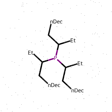 CCCCCCCCCCCC(CC)P(C(CC)CCCCCCCCCCC)C(CC)CCCCCCCCCCC